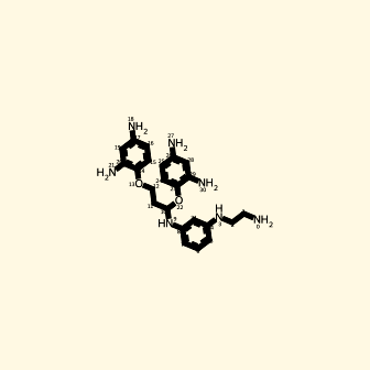 NCCNc1cccc(NC(CCOc2ccc(N)cc2N)Oc2ccc(N)cc2N)c1